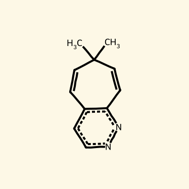 CC1(C)C=Cc2ccnnc2C=C1